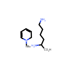 CCCCN1C=CC=CC1.NCCCCC(N)C(=O)O